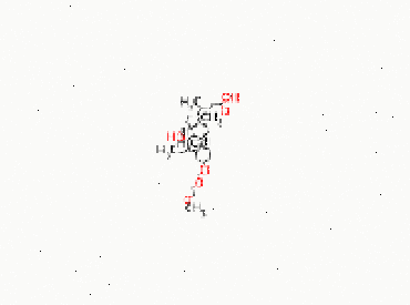 CC[C@@H]1C2C[C@H](OCOCCOC)CCC2(C)[C@H]2CCC3(C)[C@@H]([C@H](C)CCC(=O)O)CC[C@H]3C2[C@@H]1O